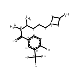 CC(CCCN1CC(O)C1)N(C)C(=O)c1ccc(F)c(C(F)(F)F)c1